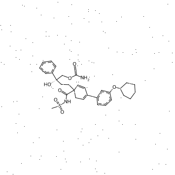 CS(=O)(=O)NC(=O)C1(CC[C@](O)(COC(N)=O)c2ccccc2)C=CC(c2cccc(OC3CCCCC3)c2)=CC1